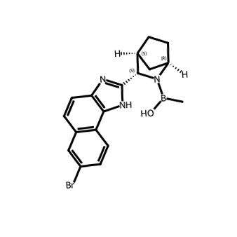 CB(O)N1[C@@H]2CC[C@@H](C2)[C@H]1c1nc2ccc3cc(Br)ccc3c2[nH]1